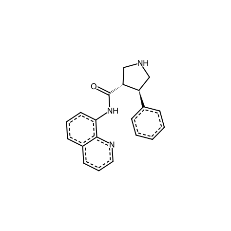 O=C(Nc1cccc2cccnc12)[C@@H]1CNC[C@H]1c1ccccc1